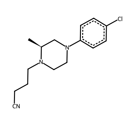 C[C@H]1CN(c2ccc(Cl)cc2)CCN1CCCC#N